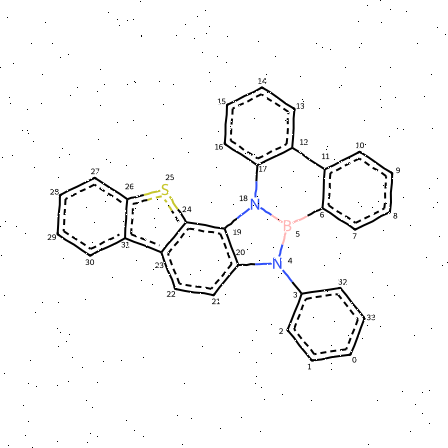 c1ccc(N2B3c4ccccc4-c4ccccc4N3c3c2ccc2c3sc3ccccc32)cc1